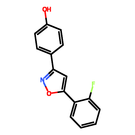 Oc1ccc(-c2cc(-c3ccccc3F)on2)cc1